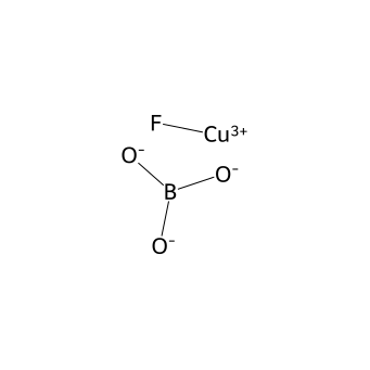 [F][Cu+3].[O-]B([O-])[O-]